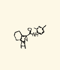 Cc1ccc(NC(=O)c2n[nH]c3c2CCCC3)c(C)c1